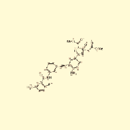 COC(=O)CS(=O)(CC(=O)OC)=NC(=O)c1cnc(N)c(C#Cc2cccc(NC(=O)c3cc(C)ccc3F)c2)c1